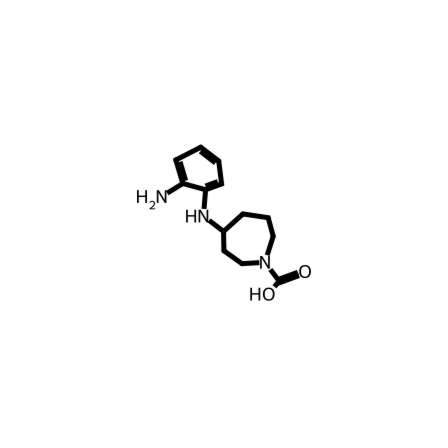 Nc1ccccc1NC1CCCN(C(=O)O)CC1